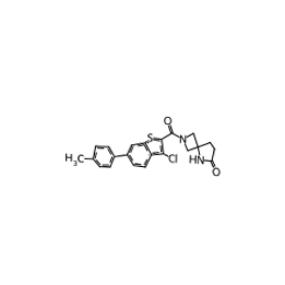 Cc1ccc(-c2ccc3c(Cl)c(C(=O)N4CC5(CCC(=O)N5)C4)sc3c2)cc1